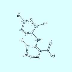 O=C(O)c1ccnc(Cl)c1Nc1ccc(Br)cc1F